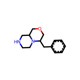 c1ccc(CC2COCC3CNCCN32)cc1